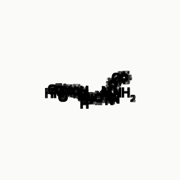 Nc1ncnc2c1c(-c1ccc(Oc3ccccc3)cc1)nn2C1CCC(CN2C[C@@H]3C[C@H]2CN3c2ccc3c(c2)CN(C2CCC(=O)NC2=O)C3)CC1